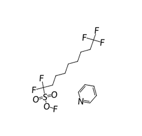 O=S(=O)(OF)C(F)(F)CCCCCCCC(F)(F)F.c1ccncc1